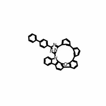 c1ccc(-c2ccc(-c3nc4nc(n3)n3c5ccccc5c5ccc6c7cccc(c8cccc(c8)c8cccc4c8)c7oc6c53)cc2)cc1